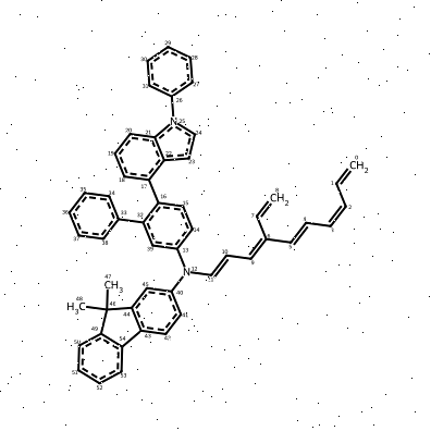 C=C\C=C/C=C/C(C=C)=C/C=C/N(c1ccc(-c2cccc3c2ccn3-c2ccccc2)c(-c2ccccc2)c1)c1ccc2c(c1)C(C)(C)c1ccccc1-2